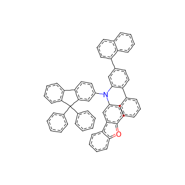 c1ccc(-c2ccc(-c3cccc4ccccc34)cc2N(c2ccc3c(c2)C(c2ccccc2)(c2ccccc2)c2ccccc2-3)c2ccc3oc4ccccc4c3c2)cc1